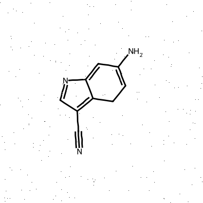 N#CC1=C2CC=C(N)C=C2N=C1